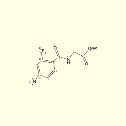 COC(=O)CNC(=O)c1ccc(N)cc1C(F)(F)F